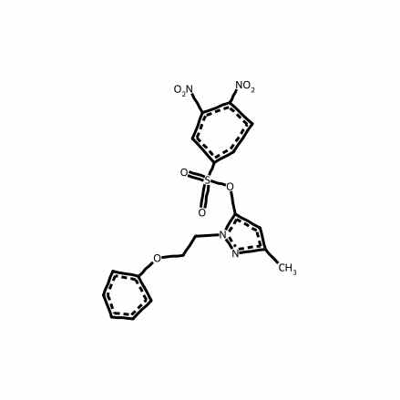 Cc1cc(OS(=O)(=O)c2ccc([N+](=O)[O-])c([N+](=O)[O-])c2)n(CCOc2ccccc2)n1